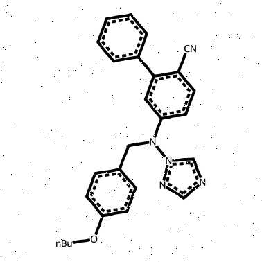 CCCCOc1ccc(CN(c2ccc(C#N)c(-c3ccccc3)c2)n2cncn2)cc1